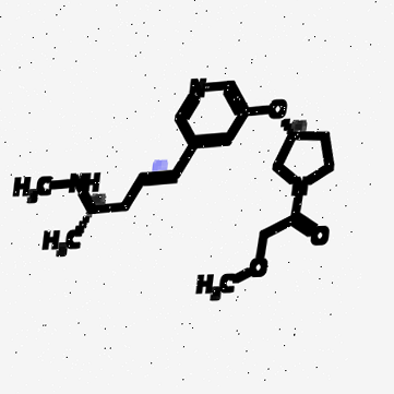 CN[C@@H](C)C/C=C/c1cncc(O[C@@H]2CCN(C(=O)COC)C2)c1